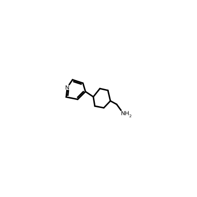 NCC1CCC(c2ccncc2)CC1